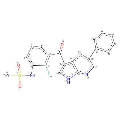 CCCS(=O)(=O)Nc1cccc(C(=O)c2c[nH]c3ncc(-c4ccccc4)cc23)c1F